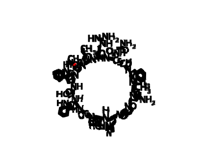 CCCC[C@H]1C(O)N(C)[C@@H](CCCC)C(=O)NC(CCCNC(=N)N)C(=O)N[C@H](C(=O)NCC(N)=O)CSCC(=O)N[C@@H](Cc2ccccc2)C(=O)N(C)[C@@H](C)C(=O)N[C@@H](CC(N)=O)C(=O)N2CCC[C@H]2C(=O)N[C@@H](Cc2cnc[nH]2)CN[C@@H](CO)C(=O)N(C)CC(=O)N[C@@H](Cc2c[nH]c3ccccc23)C(=O)N[C@@H](CO)C(=O)N[C@@H](Cc2c[nH]c3ccccc23)C(=O)N1C